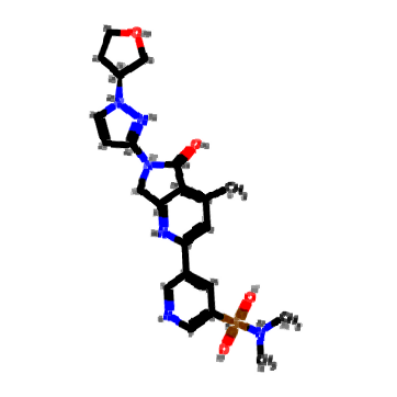 Cc1cc(-c2cncc(S(=O)(=O)N(C)C)c2)nc2c1C(=O)N(c1ccn([C@H]3CCOC3)n1)C2